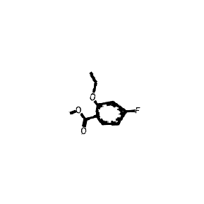 CCOc1cc(F)ccc1C(=O)OC